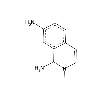 CN1C=Cc2ccc(N)cc2C1N